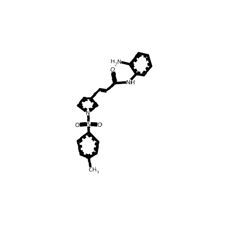 Cc1ccc(S(=O)(=O)n2ccc(C=CC(=O)Nc3ccccc3N)c2)cc1